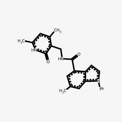 Cc1cc(C(=O)NCc2c(C)cc(C)[nH]c2=O)c2ccn(C(C)C)c2c1